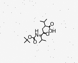 CC(C)C(CC(=O)[C@@H](NC(=O)OC(C)(C)C)C(C)C)C(=O)O